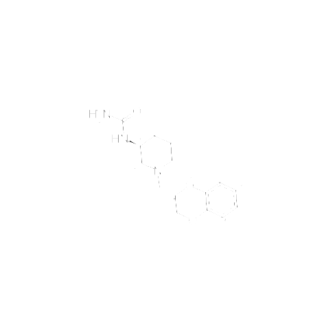 NC(=O)N[C@H]1CCCN(C[C@H]2COc3ccccc3O2)C1